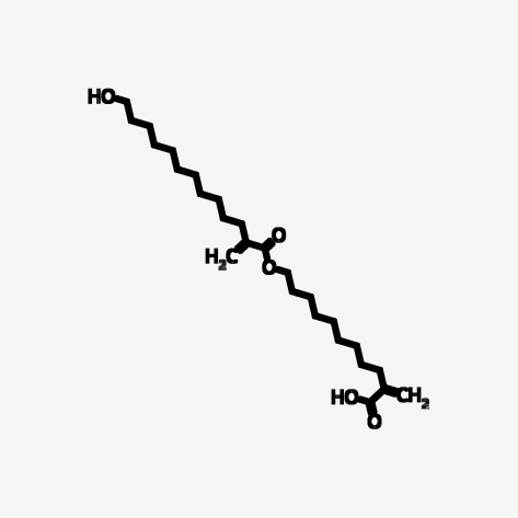 C=C(CCCCCCCCCOC(=O)C(=C)CCCCCCCCCCCO)C(=O)O